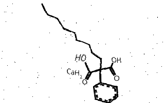 CCCCCCCCCC(C(=O)O)(C(=O)O)c1ccccc1.[CaH2]